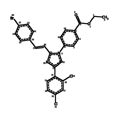 CCOC(=O)c1ccc(-n2cc(-c3ccc(Cl)cc3Cl)nc2C=Cc2ccc(Br)cc2)cc1